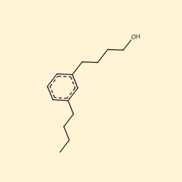 CCCCc1cccc(CCCCO)c1